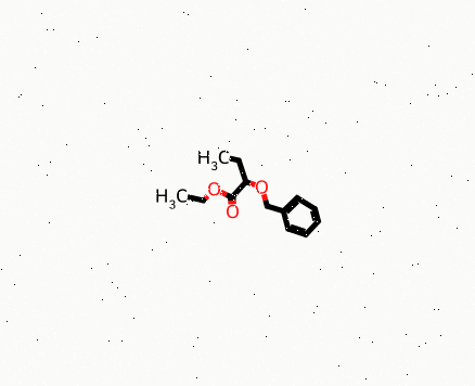 CCOC(=O)C(CC)OCc1ccccc1